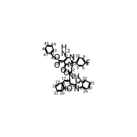 Nc1nc(-c2ccc(F)cc2)n(CC(=O)NC(=Cc2ccccc2)C(O)c2nc3ccccc3o2)c(=O)c1C(=O)OCc1ccccc1